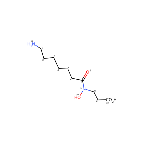 NCCCCCCC(=O)N(O)CCC(=O)O